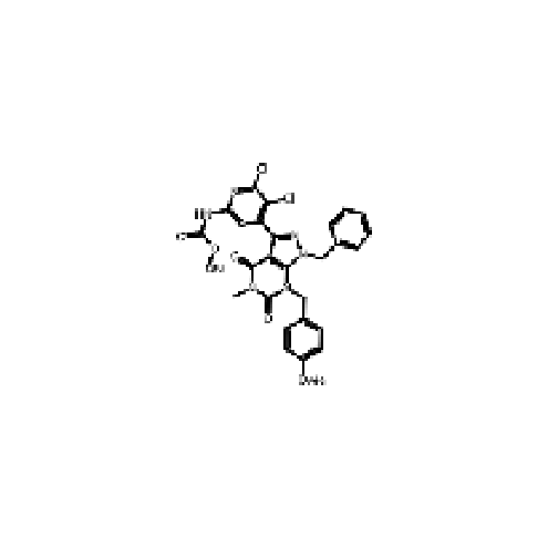 COc1ccc(Cn2c(=O)n(C)c(=O)c3c(-c4cc(NC(=O)OC(C)(C)C)nc(Cl)c4Cl)nn(Cc4ccccc4)c32)cc1